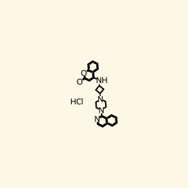 Cl.O=c1cc(N[C@H]2C[C@H](N3CCN(c4nccc5ccccc45)CC3)C2)c2ccccc2o1